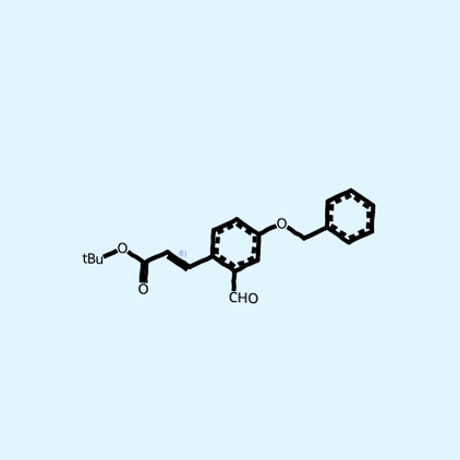 CC(C)(C)OC(=O)/C=C/c1ccc(OCc2ccccc2)cc1C=O